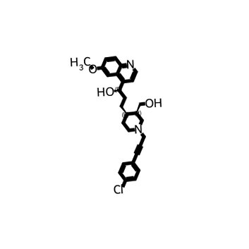 COc1ccc2nccc([C@H](O)CC[C@@H]3CCN(CC#Cc4ccc(Cl)cc4)C[C@@H]3CO)c2c1